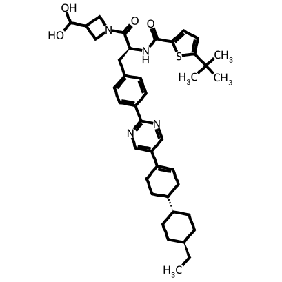 CC[C@H]1CC[C@H](C2CC=C(c3cnc(-c4ccc(C[C@H](NC(=O)c5ccc(C(C)(C)C)s5)C(=O)N5CC(C(O)O)C5)cc4)nc3)CC2)CC1